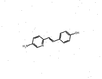 Nc1ccc(/C=C/c2ccc(O)cc2)nc1